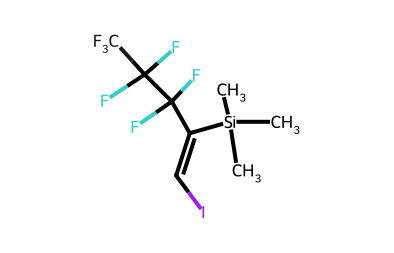 C[Si](C)(C)C(=CI)C(F)(F)C(F)(F)C(F)(F)F